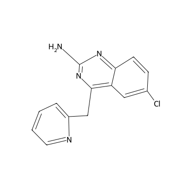 Nc1nc(Cc2ccccn2)c2cc(Cl)ccc2n1